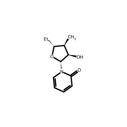 CC[C@H]1O[C@@H](n2ccccc2=O)[C@H](O)[C@@H]1C